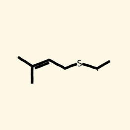 C[CH]SCC=C(C)C